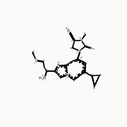 COCC(N)c1cn2cc(C3CC3)cc(N3CC(=O)N(C)C3=O)c2n1